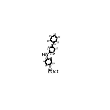 CCCCCCCCOc1ccc(Nc2nc(-c3ccccc3)cs2)cc1